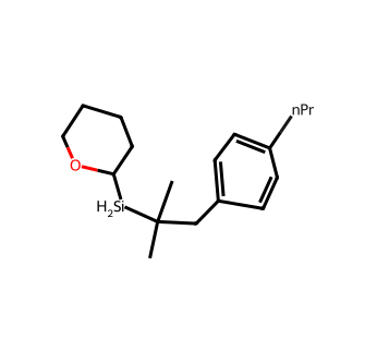 CCCc1ccc(CC(C)(C)[SiH2]C2CCCCO2)cc1